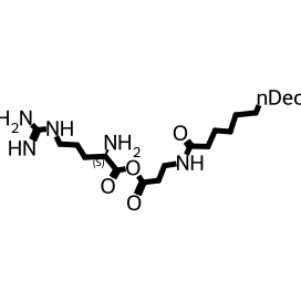 CCCCCCCCCCCCCCCC(=O)NCCC(=O)OC(=O)[C@@H](N)CCCNC(=N)N